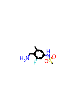 Cc1cc(NS(C)(=O)=O)cc(F)c1CN